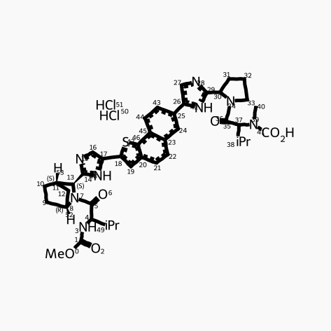 COC(=O)NC(C(=O)N1[C@@H]2CC[C@@H](C2)[C@H]1c1ncc(-c2cc3ccc4cc(-c5cnc(C6CCCN6C(=O)C(C(C)C)N(C)C(=O)O)[nH]5)ccc4c3s2)[nH]1)C(C)C.Cl.Cl